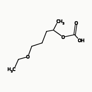 CCOCCCC(C)OC(=O)O